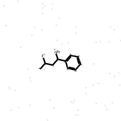 CCCC(CC(C)F)c1cc[c]cc1